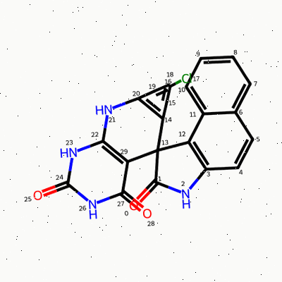 O=C1Nc2ccc3ccccc3c2C12c1cc(Cl)ccc1Nc1[nH]c(=O)[nH]c(=O)c12